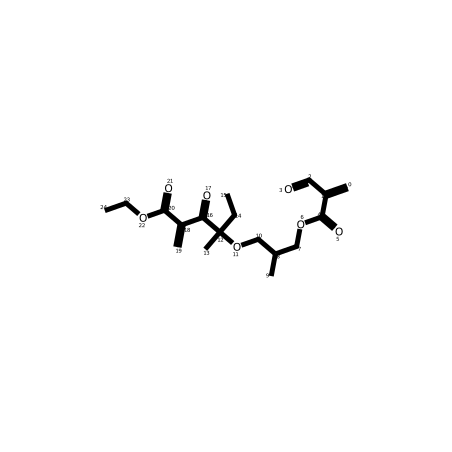 C=C(C=O)C(=O)OCC(C)COC(C)(CC)C(=O)C(=C)C(=O)OCC